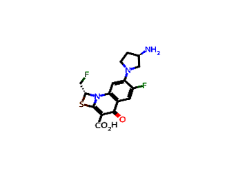 N[C@@H]1CCN(c2cc3c(cc2F)c(=O)c(C(=O)O)c2n3[C@@H](CF)S2)C1